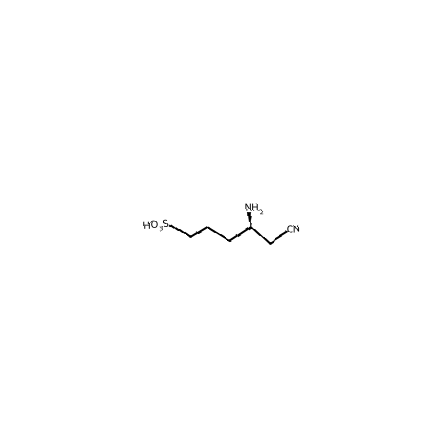 N#CC[C@H](N)CCCS(=O)(=O)O